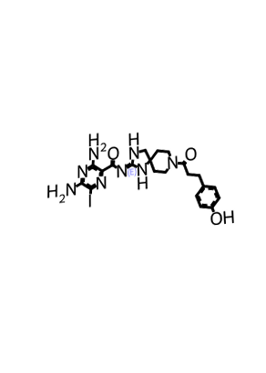 Nc1nc(N)c(C(=O)/N=C2\NCC3(CCN(C(=O)CCc4ccc(O)cc4)CC3)N2)nc1I